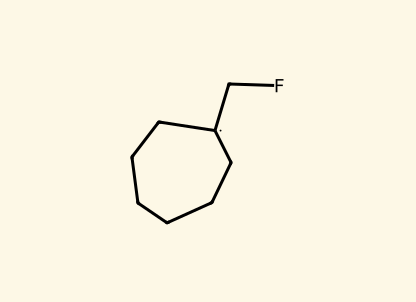 FC[C]1CCCCCC1